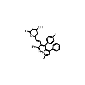 Cc1cc(-c2ccccc2)c2c(-c3ccc(F)cc3)c(C=CC3CC(O)CC(=O)O3)c(C(C)C)nn12